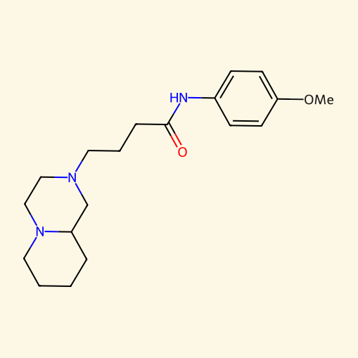 COc1ccc(NC(=O)CCCN2CCN3CCCCC3C2)cc1